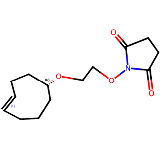 O=C1CCC(=O)N1OCCO[C@H]1CC/C=C/CCC1